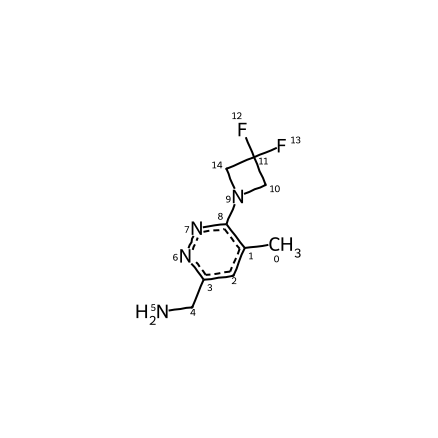 Cc1cc(CN)nnc1N1CC(F)(F)C1